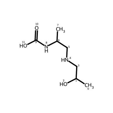 CC(O)CNCC(C)NC(=O)O